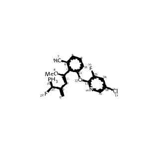 C=C(/C=C(\OC)c1c(C#N)cccc1Oc1ncc(Cl)cc1F)C(F)P